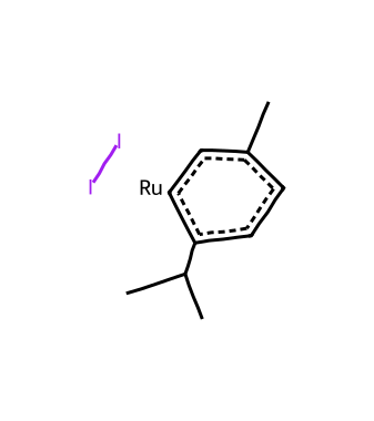 Cc1ccc(C(C)C)cc1.II.[Ru]